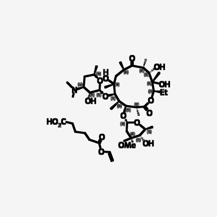 C=COC(=O)CCCCC(=O)O.CC[C@H]1OC(=O)[C@H](C)[C@@H](O[C@H]2C[C@@](C)(OC)[C@@H](O)[C@H](C)O2)[C@@H](C)[C@@H](O[C@@H]2O[C@H](C)C[C@H](N(C)C)[C@H]2O)[C@](C)(O)C[C@@H](C)C(=O)[C@H](C)[C@H](O)[C@]1(C)O